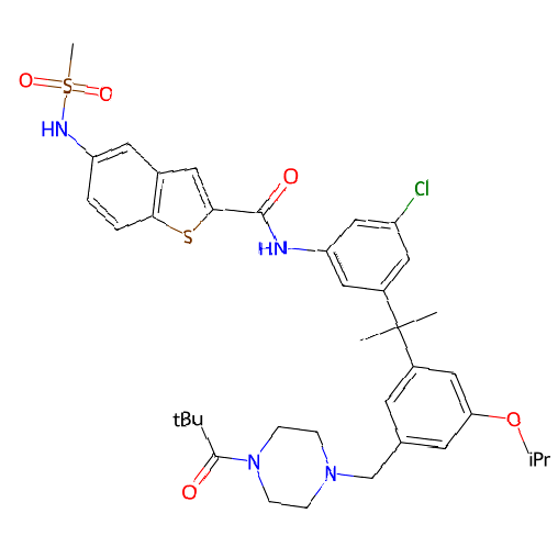 CC(C)Oc1cc(CN2CCN(C(=O)C(C)(C)C)CC2)cc(C(C)(C)c2cc(Cl)cc(NC(=O)c3cc4cc(NS(C)(=O)=O)ccc4s3)c2)c1